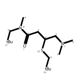 CN(C)CC(CC(=O)N(C)CC(C)(C)C)SCC(C)(C)C